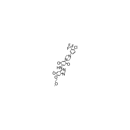 COCCOc1cc2ncnc(NC3=CC(=O)C(N4CCN(c5ccc(Cl)c(C(F)(F)F)c5)CC4)=CC3=O)c2cc1OC